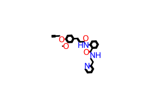 C#CCOc1ccc(C=CC(=O)Nc2ccccc2C(=O)NCCc2ccccn2)cc1OC